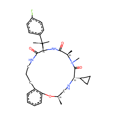 C[C@@H]1CN[C@@H](C2CC2)C(=O)N(C)[C@H](C)C(=O)N[C@H](C(C)(C)c2ccc(F)cc2)C(=O)NCCCc2ccccc2O1